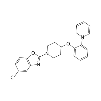 Clc1ccc2oc(N3CCC(Oc4ccccc4N4C=CC=CC4)CC3)nc2c1